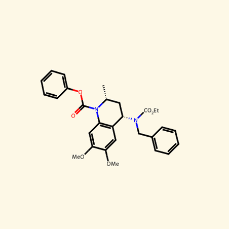 CCOC(=O)N(Cc1ccccc1)[C@H]1C[C@@H](C)N(C(=O)Oc2ccccc2)c2cc(OC)c(OC)cc21